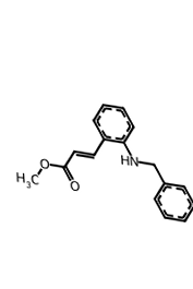 COC(=O)C=Cc1ccccc1NCc1ccccc1